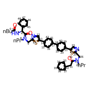 CCCCC(=O)N[C@H](C(=O)N(CCC)Cc1ncc(-c2ccc(-c3ccc(-c4cnc(CN(CCC)C(=O)Cc5ccccc5)s4)cc3)cc2)s1)c1ccccc1